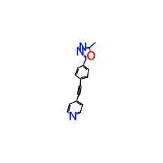 Cc1nnc(-c2ccc(C#Cc3ccncc3)cc2)o1